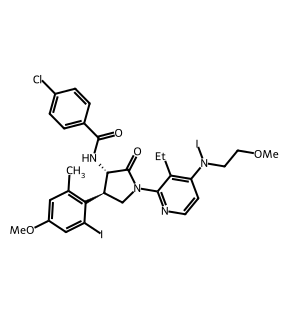 CCc1c(N(I)CCOC)ccnc1N1C[C@@H](c2c(C)cc(OC)cc2I)[C@H](NC(=O)c2ccc(Cl)cc2)C1=O